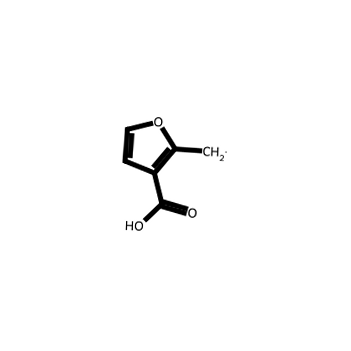 [CH2]c1occc1C(=O)O